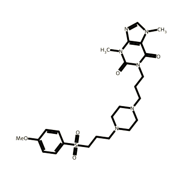 COc1ccc(S(=O)(=O)CCCN2CCN(CCCn3c(=O)c4c(ncn4C)n(C)c3=O)CC2)cc1